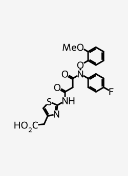 COc1ccccc1ON(C(=O)CC(=O)Nc1nc(CC(=O)O)cs1)c1ccc(F)cc1